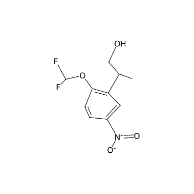 C[C](CO)c1cc([N+](=O)[O-])ccc1OC(F)F